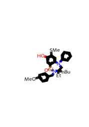 CCCCC1(CC)CN(c2ccccc2)c2cc(SC)c(O)cc2[S+]([O-])N1Cc1ccc(OC)cc1